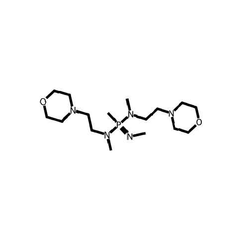 CN=P(C)(N(C)CCN1CCOCC1)N(C)CCN1CCOCC1